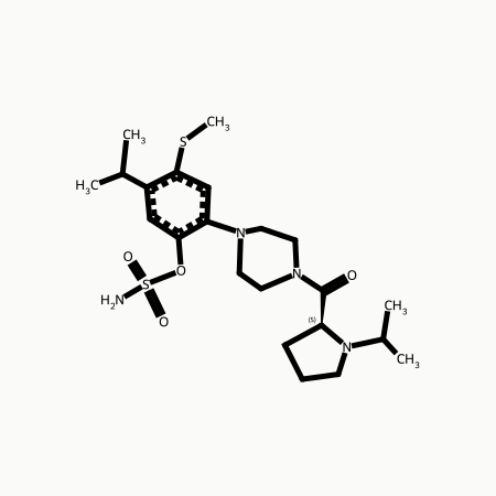 CSc1cc(N2CCN(C(=O)[C@@H]3CCCN3C(C)C)CC2)c(OS(N)(=O)=O)cc1C(C)C